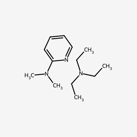 CCN(CC)CC.CN(C)c1ccccn1